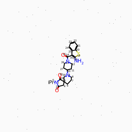 CC(C)N1C(=O)CC2(CCCN(C3CCN(C(=O)c4c(N)sc5ccccc45)CC3)C2)C1=O